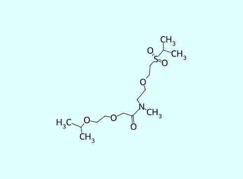 CC(C)OCCOCC(=O)N(C)CCOCCS(=O)(=O)C(C)C